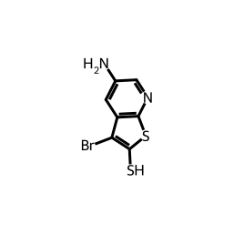 Nc1cnc2sc(S)c(Br)c2c1